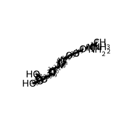 C/C(N)=C/N(N)CCOCCOCCOCCN1C=CN(CCc2ccc(CCOC3CC(O)CC(CO)O3)cc2)CC1